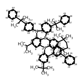 CC(C)c1cc2c3c(c1)N(c1ccc(C(C)(C)C)cc1-c1cccc(-c4ccccc4)c1)c1cc4c(cc1B3c1cc(C(C)(C)c3ccccc3)ccc1N2c1ccc(C(C)(C)c2ccccc2)cc1)C(C)(C)CCC4(C)C